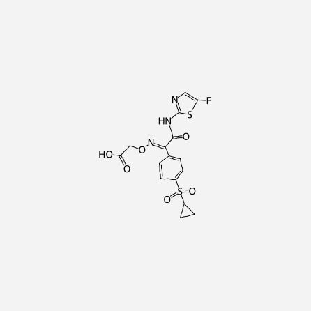 O=C(O)CO/N=C(/C(=O)Nc1ncc(F)s1)c1ccc(S(=O)(=O)C2CC2)cc1